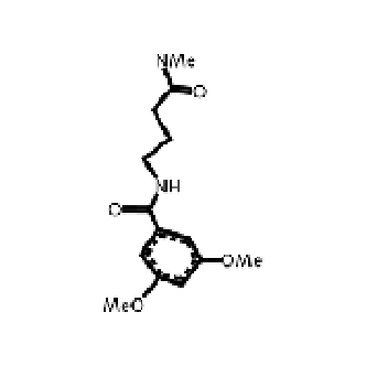 CNC(=O)CCCNC(=O)c1cc(OC)cc(OC)c1